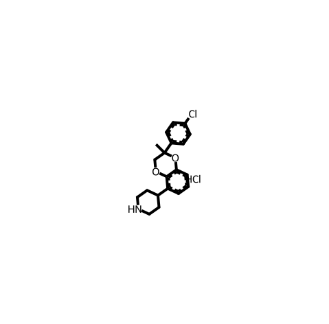 CC1(c2ccc(Cl)cc2)COc2c(cccc2C2CCNCC2)O1.Cl